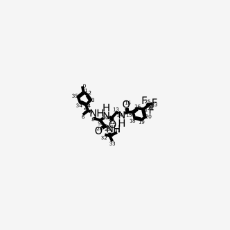 Cc1ccc(C(C)NCC(NC(=O)CNC(=O)c2cccc(C(F)(F)F)c2)C(=O)NC(C)(C)C)cc1